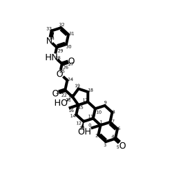 CC12C=CC(=O)C=C1CCC1C2[C@@H](O)CC2(C)C1CC[C@]2(O)C(=O)COC(=O)Nc1ccccn1